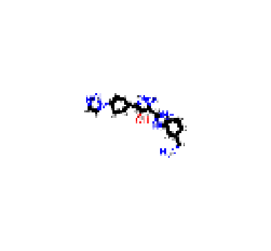 Cn1nc(-c2ccc(-n3ccnn3)cc2)c(O)c1-c1nc2cc(CN)ccc2[nH]1